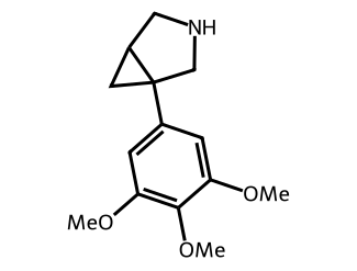 COc1cc(C23CNCC2C3)cc(OC)c1OC